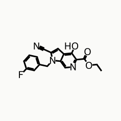 CCOC(=O)c1ncc2c(cc(C#N)n2Cc2cccc(F)c2)c1O